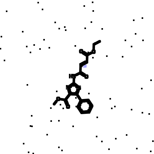 CCOC(=O)/C=C/C(=O)Nc1nc(C(=O)OC)c(-c2ccccc2)s1